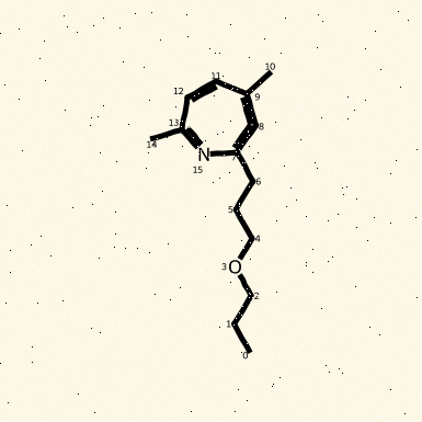 CCCOCCCC1=C=C(C)C=CC(C)=N1